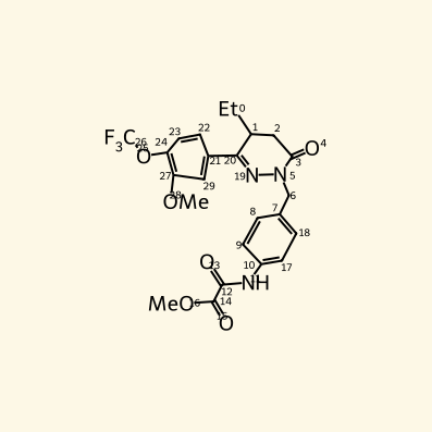 CCC1CC(=O)N(Cc2ccc(NC(=O)C(=O)OC)cc2)N=C1c1ccc(OC(F)(F)F)c(OC)c1